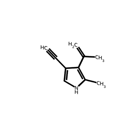 C#Cc1c[nH]c(C)c1C(=C)C